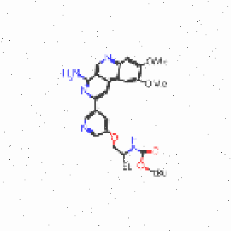 CCC(COc1cncc(-c2cc3c(cnc4cc(OC)c(OC)cc43)c(N)n2)c1)NC(=O)OC(C)(C)C